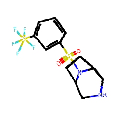 O=S(=O)(c1cccc(S(F)(F)(F)(F)F)c1)N1C2CCC1CNC2